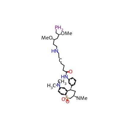 CN[C@@H]1C[C@H](c2cccc(NC(=O)CCCCCCNCC[C@H](C[C@@H](CP)OC)OC)c2)c2cc(N(C)C)ccc2S(=O)(=O)C1